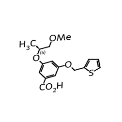 COC[C@H](C)Oc1cc(OCc2cccs2)cc(C(=O)O)c1